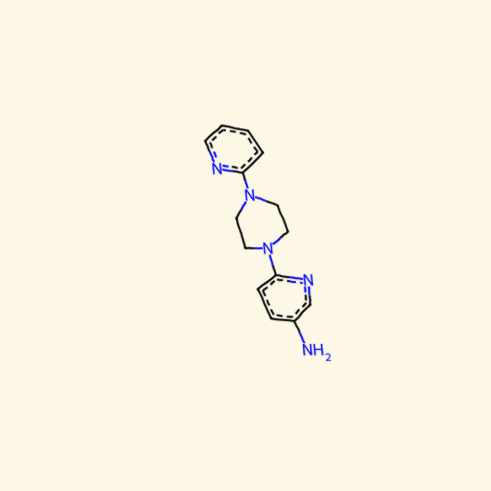 Nc1ccc(N2CCN(c3ccccn3)CC2)nc1